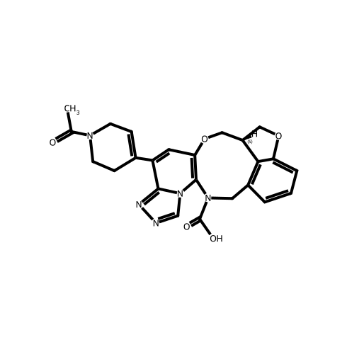 CC(=O)N1CC=C(c2cc3c(n4cnnc24)N(C(=O)O)Cc2cccc4c2[C@@H](CO4)CO3)CC1